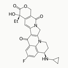 CC[C@@]1(O)C(=O)OCc2c1cc1n(c2=O)Cc2c-1c(=O)c1cc(F)cc3c1n2CC[C@H]3NC1CC1